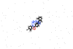 Cc1ccc(NC(=O)c2ccc3nc(-c4c(C)cccc4C)[nH]c3c2)cc1C